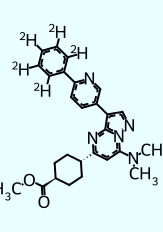 [2H]c1c([2H])c([2H])c(-c2ccc(-c3cnn4c(N(C)C)cc([C@H]5CC[C@H](C(=O)OC)CC5)nc34)cn2)c([2H])c1[2H]